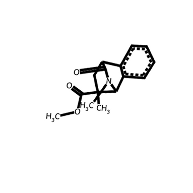 COC(=O)C1(C)CC2C(=O)N(C)C1c1ccccc12